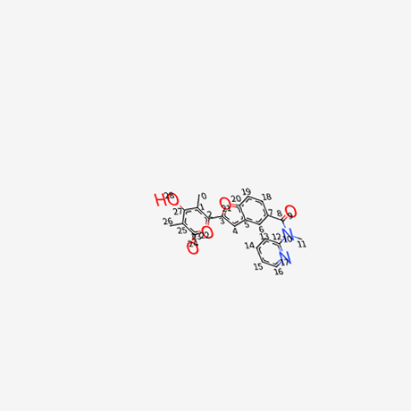 Cc1c(-c2cc3cc(C(=O)N(C)c4ccccn4)ccc3o2)oc(=O)c(C)c1O